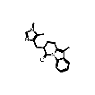 Cc1c2n(c3ccccc13)C(=O)C(Cc1ncn(C)c1C)CC2